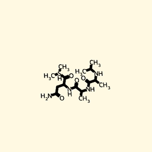 CC(C)NC(C)C(=O)NC(C)C(=O)NC(CC(N)=O)C(=O)[SH](C)C